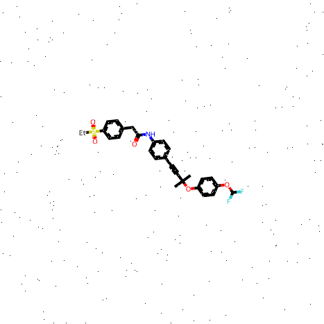 CCS(=O)(=O)c1ccc(CC(=O)Nc2ccc(C#CC(C)(C)Oc3ccc(OC(F)F)cc3)cc2)cc1